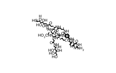 CNC(=O)[C@H](CCCC(=O)O)NC(=O)[C@H](CCC(=O)NC[C@H](O)[C@@H](O)[C@H](O)[C@H](O)CO)NC(=O)[C@H](CCC(=O)O)NC(=O)[C@H](CCC(=O)NC[C@H](O)[C@@H](O)[C@H](O)[C@H](O)CO)NC(=O)CC[C@@H](C)NC(=O)c1ccc(NCc2cnc3nc(N)[nH]c(=O)c3n2)cc1